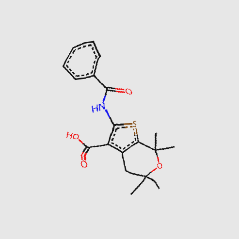 CC1(C)Cc2c(sc(NC(=O)c3ccccc3)c2C(=O)O)C(C)(C)O1